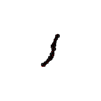 C=CC(=O)OCCOCCOCCOCCOC(=O)Oc1ccc(C(=O)Oc2ccc3c(c2)C(C)(C)c2cc(OC(=O)c4ccc(OC(=O)OCCOCCOCCOCCOC(=O)C=C)c(F)c4)ccc2-3)cc1F